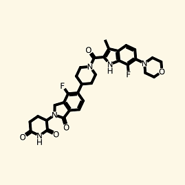 Cc1c(C(=O)N2CCC(c3ccc4c(c3F)CN(C3CCC(=O)NC3=O)C4=O)CC2)[nH]c2c(F)c(N3CCOCC3)ccc12